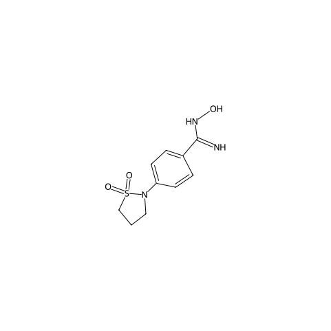 N=C(NO)c1ccc(N2CCCS2(=O)=O)cc1